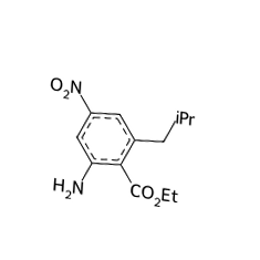 CCOC(=O)c1c(N)cc([N+](=O)[O-])cc1CC(C)C